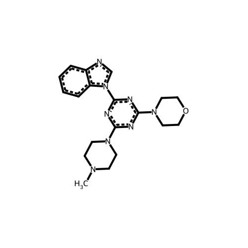 CN1CCN(c2nc(N3CCOCC3)nc(-n3cnc4ccccc43)n2)CC1